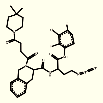 CC1(C)CCN(C(=O)CCC(=O)N2Cc3ccccc3CC2C(=O)NC(CCN=[N+]=[N-])C(=O)Nc2ccc(Cl)c(Cl)c2F)CC1